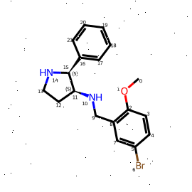 COc1ccc(Br)cc1CN[C@H]1CCN[C@H]1c1ccccc1